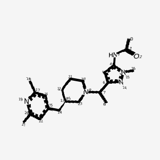 CC(=O)Nc1cc(C(C)N2CCC[C@H](Cc3cc(C)nc(C)c3)C2)nn1C